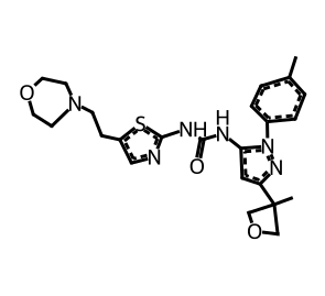 Cc1ccc(-n2nc(C3(C)COC3)cc2NC(=O)Nc2ncc(CCN3CCOCC3)s2)cc1